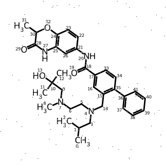 CC(C)CN(CCN(C)CC(C)(C)O)Cc1cc(C(=O)Nc2ccc3c(c2)NC(=O)C(C)O3)ccc1-c1ccccc1